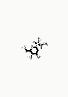 CNS(N)(F)[C@@H]1CC(O)[C@H](O)C(CO)O1